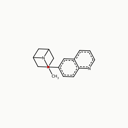 CN1CC2CC(C1)N2Cc1ccc2ncccc2c1